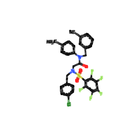 N#Cc1cccc(CN(C(=O)CN(Cc2ccc(Cl)cc2)S(=O)(=O)c2c(F)c(F)c(F)c(F)c2F)c2ccc(C(=O)O)cc2)c1